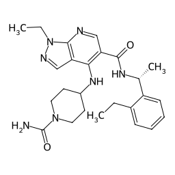 CCc1ccccc1[C@@H](C)NC(=O)c1cnc2c(cnn2CC)c1NC1CCN(C(N)=O)CC1